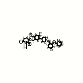 O=C1CCC(N2Cc3cc(C4CCN(Cc5ccccc5Oc5ccccn5)CC4)c(F)cc3C2=O)C(=O)N1